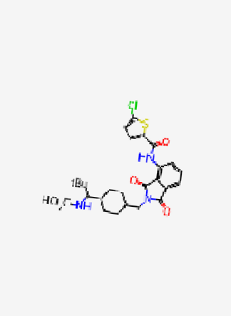 CC(C)(C)C(NC(=O)O)C1CCC(CN2C(=O)c3cccc(NC(=O)c4ccc(Cl)s4)c3C2=O)CC1